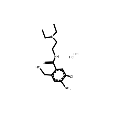 CCN(CC)CCNC(=O)c1cc(Cl)c(N)cc1CO.Cl.Cl